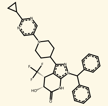 O=C1Nc2c(c(C3CCN(c4cnc(C5CC5)nc4)CC3)nn2C(c2ccccc2)c2ccccc2)[C@@H](C(F)(F)F)[C@H]1O